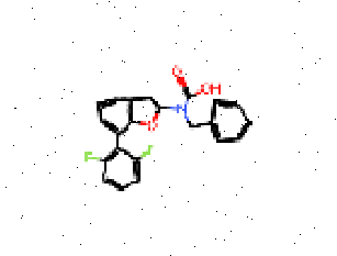 O=C(O)N(Cc1ccccc1)C1Cc2cccc(-c3c(F)cccc3F)c2O1